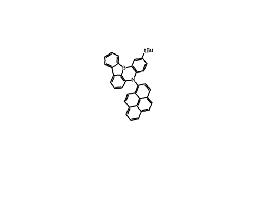 CC(C)(C)c1ccc2c(c1)B1c3ccccc3-c3cccc(c31)N2c1ccc2ccc3cccc4ccc1c2c34